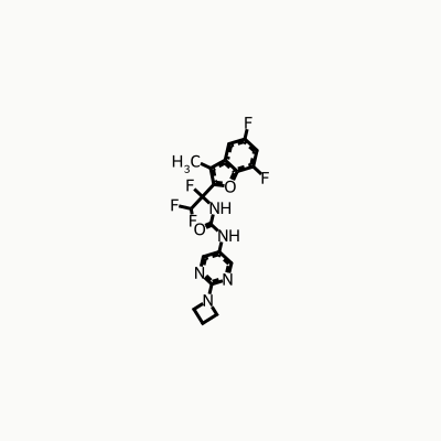 Cc1c(C(F)(NC(=O)Nc2cnc(N3CCC3)nc2)C(F)F)oc2c(F)cc(F)cc12